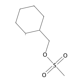 CS(=O)(=O)OCC1[CH]CCCC1